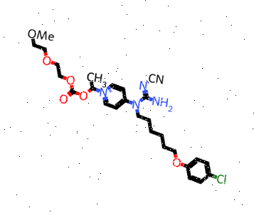 COCCOCCOC(=O)OC(C)[n+]1ccc(N(CCCCCCOc2ccc(Cl)cc2)C(N)=NC#N)cc1